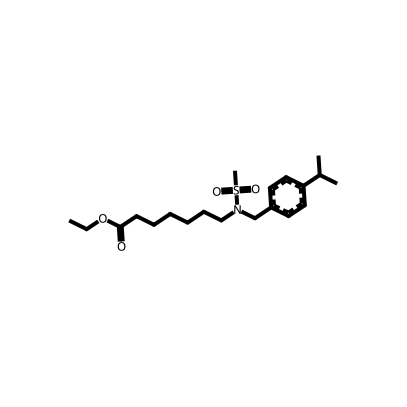 CCOC(=O)CCCCCCN(Cc1ccc(C(C)C)cc1)S(C)(=O)=O